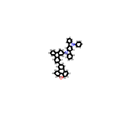 c1ccc(-n2c3ccccc3c3cc4c(cc32)c2ccccc2n4-c2ccc3c4ccccc4c4ccc(-c5ccc6c(c5)c5cccc7oc8cccc6c8c75)cc4c3c2)cc1